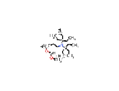 CCCN([Si](CC)(CC)CC)[Si](CC)(CC)CC.CO[SiH2]OC